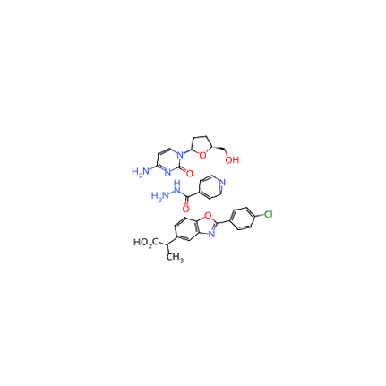 CC(C(=O)O)c1ccc2oc(-c3ccc(Cl)cc3)nc2c1.NNC(=O)c1ccncc1.Nc1ccn([C@H]2CC[C@@H](CO)O2)c(=O)n1